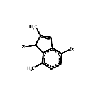 CCc1ccc(C)c2c1C=C(C)[CH]2[Zr]